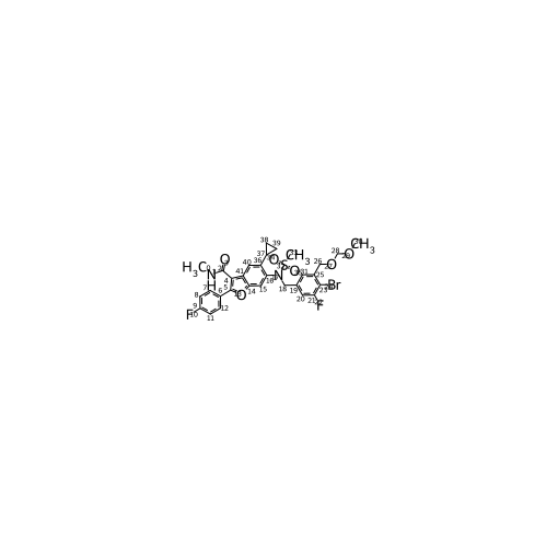 CNC(=O)c1c(-c2ccc(F)cc2)oc2cc(N(Cc3cc(F)c(Br)c(COCOC)c3)S(C)(=O)=O)c(C3CC3)cc12